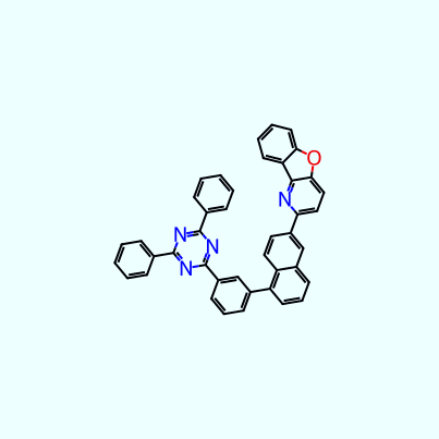 c1ccc(-c2nc(-c3ccccc3)nc(-c3cccc(-c4cccc5cc(-c6ccc7oc8ccccc8c7n6)ccc45)c3)n2)cc1